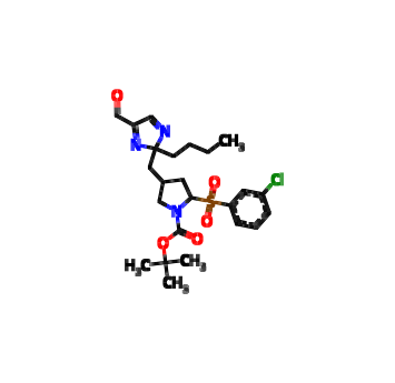 CCCCC1(CC2CC(S(=O)(=O)c3cccc(Cl)c3)N(C(=O)OC(C)(C)C)C2)N=CC(C=O)=N1